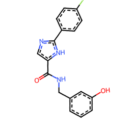 O=C(NCc1cccc(O)c1)c1cnc(-c2ccc(F)cc2)[nH]1